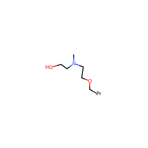 CC(C)COCCN(C)CCO